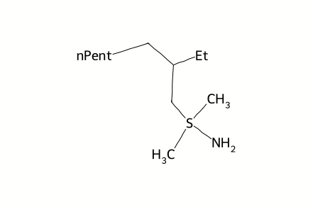 CCCCCCC(CC)CS(C)(C)N